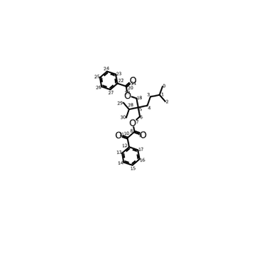 CC(C)CCC(COC(=O)C(=O)c1ccccc1)(COC(=O)c1ccccc1)C(C)C